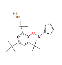 Br.Br.CC(C)(C)c1cc(C(C)(C)C)c([O][Ti][C]2=CC=CC2)c(C(C)(C)C)c1